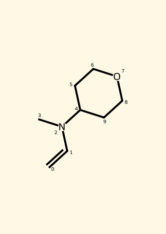 C=CN(C)C1CCOCC1